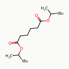 CC(OC(=O)CCCCC(=O)OC(C)C(C)(C)C)C(C)(C)C